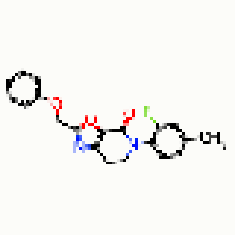 Cc1ccc(N2CCc3nc(COc4ccccc4)oc3C2=O)c(F)c1